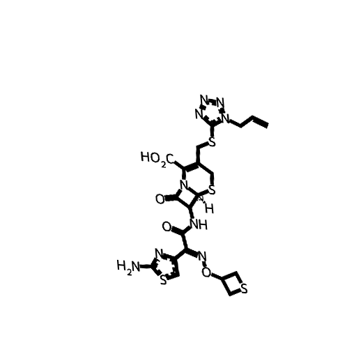 C=CCn1nnnc1SCC1=C(C(=O)O)N2C(=O)C(NC(=O)C(=NOC3CSC3)c3csc(N)n3)[C@@H]2SC1